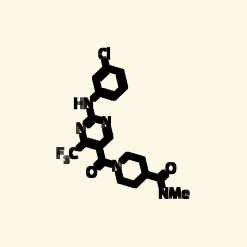 CNC(=O)C1CCN(C(=O)c2cnc(Nc3cccc(Cl)c3)nc2C(F)(F)F)CC1